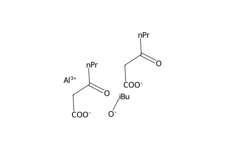 CCC(C)[O-].CCCC(=O)CC(=O)[O-].CCCC(=O)CC(=O)[O-].[Al+3]